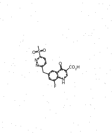 CS(=O)(=O)c1ccc(Cc2cc(F)c3[nH]cc(C(=O)O)c(=O)c3c2)nn1